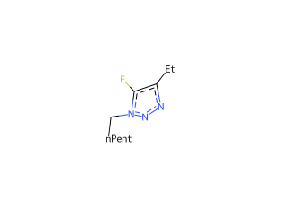 CCCCCCn1nnc(CC)c1F